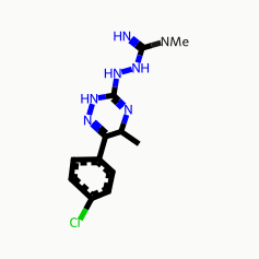 CNC(=N)NNC1=NC(C)C(c2ccc(Cl)cc2)=NN1